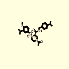 COc1ccc(S(=O)(=O)N2CCN(C(C)=O)C[C@@H]2C(=O)NCc2ccc(C(C)C)cc2)cc1C(C)C